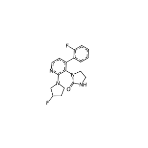 O=C1NCCN1c1c(-c2ccccc2F)ccnc1N1CCC(F)C1